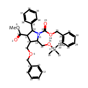 COC(=O)C1C(COCc2ccccc2)C(CO[Si](C)(C)C(C)(C)C)N(C(=O)OCc2ccccc2)C1c1ccccc1